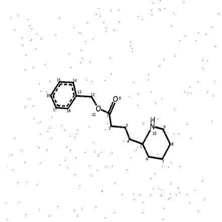 O=C(CCCC1CCCCN1)OCc1ccccc1